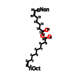 CCCCCCCC/C=C\CCCCCCCC(=O)OC(=O)CCCC/C=C\CCCCCCCCC